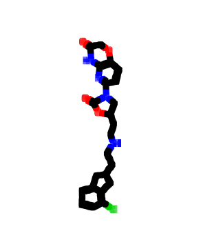 O=C1COc2ccc(N3CC(CCNCCC4Cc5cccc(Cl)c5C4)OC3=O)nc2N1